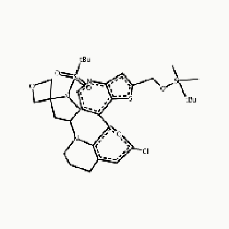 CC(C)(C)[Si](C)(C)OCc1cc2nccc(-c3cc(Cl)cc4c3N(C3CN(S(=O)(=O)C(C)(C)C)C5(COC5)C3)CCC4)c2s1